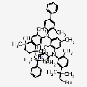 C=C(/C=C\C(C)(c1ccccc1)C(C)(C)C)N(c1cc(C(C)(C)CC(C)(C)C)ccc1C)c1cc(C)cc(N(c2ccc(-c3ccccc3)cc2C)c2cc3c(cc2C)C(C)(C)CCC3(C)C)c1C